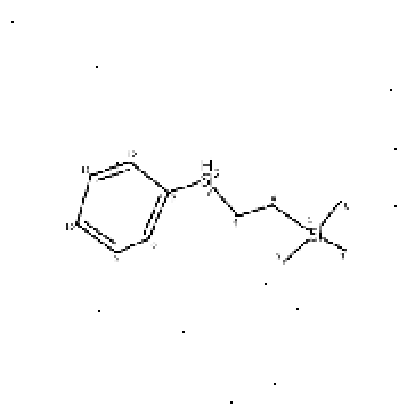 C[Si](C)(C)CC[SiH2]c1ccccc1